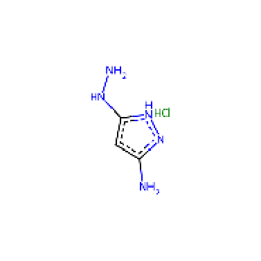 Cl.NNc1cc(N)n[nH]1